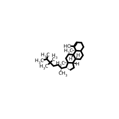 CC(C)C(C)(C)CC[C@@H](C)[C@H]1CC[C@H]2[C@@H]3CCC4CCC=C(O)[C@]4(C)[C@H]3CC[C@]12C